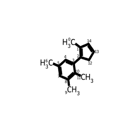 CC1=C(c2cc(C)cc(C)c2C)CC=C1